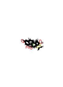 CCSC1(SCC)[C@H](OC)C[C@H]2[C@@H]3CCC4=CC(=O)C=C[C@]4(C)C3(F)[C@@H](O)C[C@@]21C